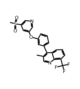 Cc1cnc2c(C(F)(F)F)cccc2c1-c1cccc(Oc2cncc(S(C)(=O)=O)c2)c1